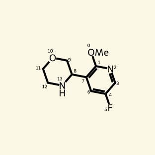 COc1ncc(F)cc1C1COCCN1